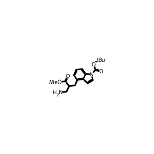 COC(=O)C(CN)Cc1cccc2c1ccn2C(=O)OC(C)(C)C